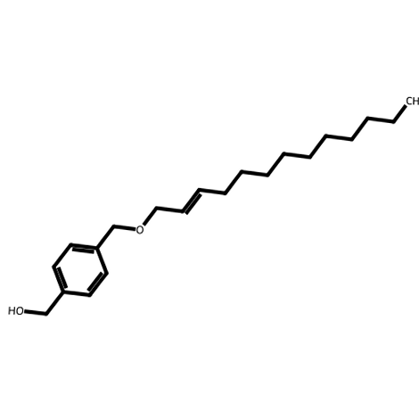 CCCCCCCCCC/C=C/COCc1ccc(CO)cc1